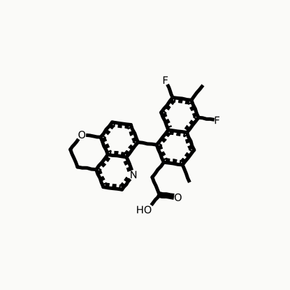 Cc1cc2c(F)c(C)c(F)cc2c(-c2ccc3c4c(ccnc24)CCO3)c1CC(=O)O